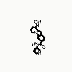 O=C(Nc1cccnc1)c1ccc2cc3n(c2c1)CCCC3=NO